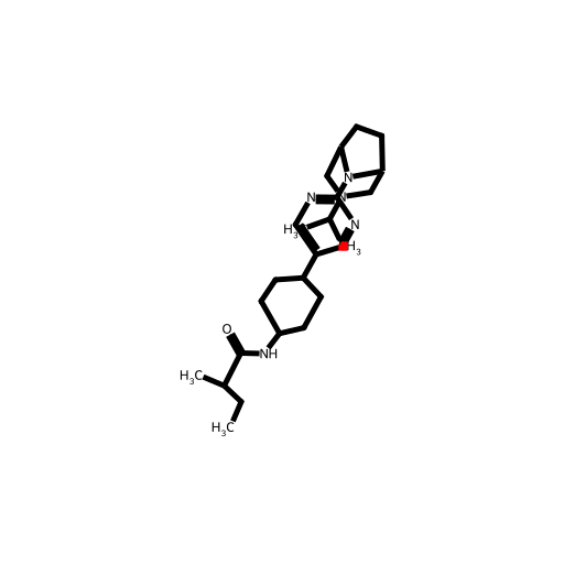 CCC(C)C(=O)NC1CCC(c2cnc(N3C4CCC3CN(C(C)C)C4)nc2)CC1